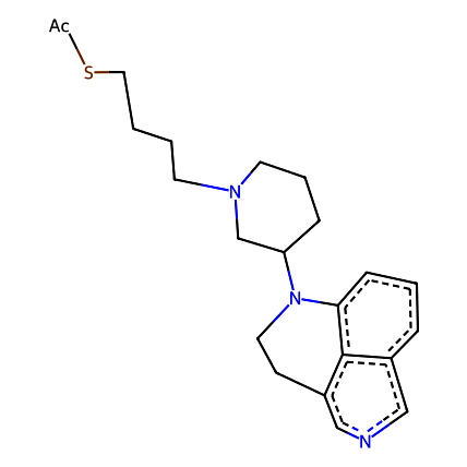 CC(=O)SCCCCN1CCCC(N2CCc3cncc4cccc2c34)C1